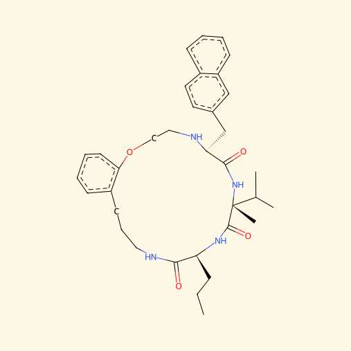 CCC[C@@H]1NC(=O)[C@@](C)(C(C)C)NC(=O)[C@@H](Cc2ccc3ccccc3c2)NCCOc2ccccc2CCCNC1=O